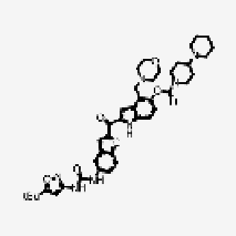 CC(C)(C)c1cc(NC(=O)Nc2ccc3oc(C(=O)c4cc5c(CN6CCOCC6)c(OC(=O)N6CCC(N7CCCCC7)CC6)ccc5[nH]4)cc3c2)no1